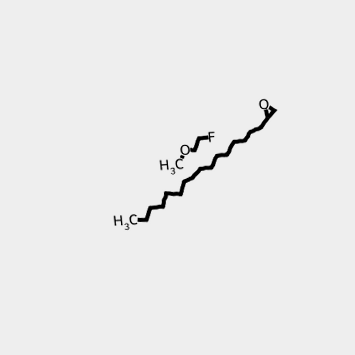 CCCCCCCCCCCCCCCCC1CO1.COCCF